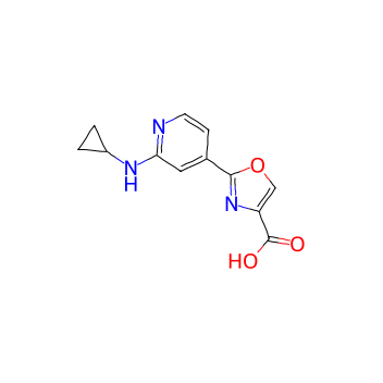 O=C(O)c1coc(-c2ccnc(NC3CC3)c2)n1